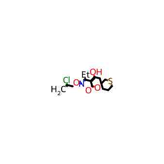 C=C(Cl)CON=C(CC)C1=C(O)CC2(CCCSC2)OC1=O